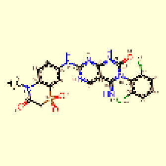 CN1C(=O)CS(=O)(=O)c2cc(Nc3ncc4c(=N)n(-c5c(Cl)cccc5Cl)c(=O)[nH]c4n3)ccc21